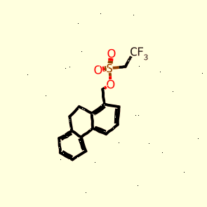 O=S(=O)(CC(F)(F)F)OCc1cccc2c1CCc1ccccc1-2